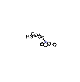 Cc1cc(SC/C=C2\c3ccccc3CCc3cc(-c4ccccc4)ccc32)ccc1OCC(=O)O